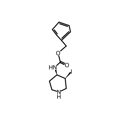 O=C(N[C@@H]1CCNC[C@@H]1I)OCc1ccccc1